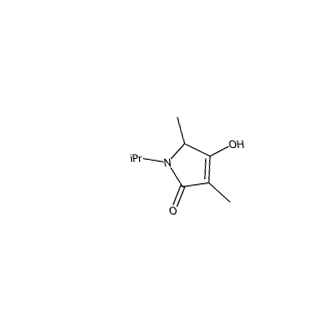 CC1=C(O)C(C)N(C(C)C)C1=O